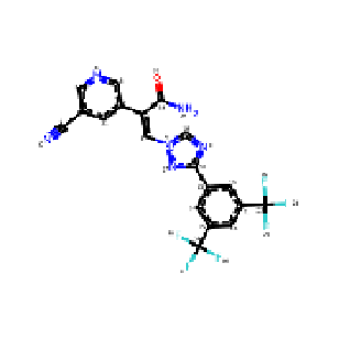 N#Cc1cncc(C(=Cn2cnc(-c3cc(C(F)(F)F)cc(C(F)(F)F)c3)n2)C(N)=O)c1